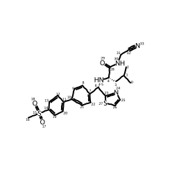 CC(C)C[C@H](N[C@@H](c1ccc(-c2ccc(S(C)(=O)=O)cc2)cc1)c1nccs1)C(=O)NCC#N